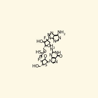 Nc1nc2c(ncn2[C@@H]2S[C@H](CO)[C@H](F)C2OP(=O)(S)OC[C@H]2OCC(F)(n3nnc4c(N)ncnc43)[C@@H]2O)c(=O)[nH]1